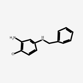 Nc1cc(NCc2[c]cccc2)ccc1Cl